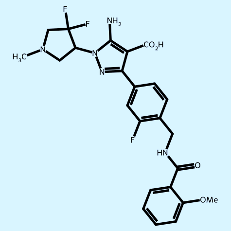 COc1ccccc1C(=O)NCc1ccc(-c2nn(C3CN(C)CC3(F)F)c(N)c2C(=O)O)cc1F